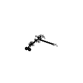 CCCCCCCCCCCCCCCC(=O)N[C@H](CCC(=O)NCCCCC(NC(=O)OCC1c2ccccc2-c2ccccc21)C(=O)O)C(=O)OC(C)(C)C